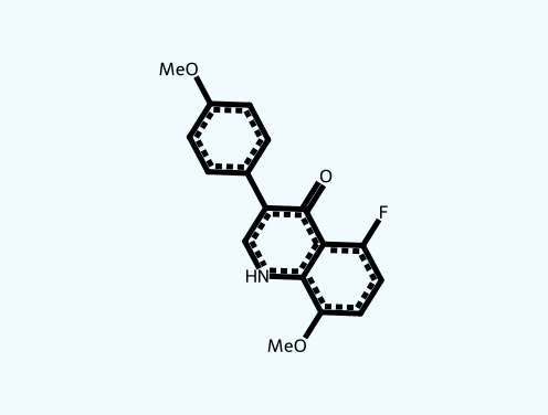 COc1ccc(-c2c[nH]c3c(OC)ccc(F)c3c2=O)cc1